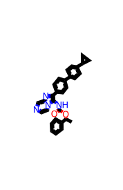 CC(OC(=O)Nc1c(-c2ccc(-c3ccc(C4CC4)cc3)cc2)nc2cnccn12)c1ccccc1